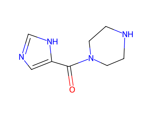 O=C(c1cnc[nH]1)N1CCNCC1